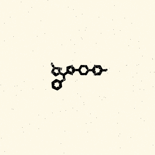 Fc1cnc(N2CCC(c3nc(C(Oc4ccccc4)N4C=NN(F)N4)cs3)CC2)nc1